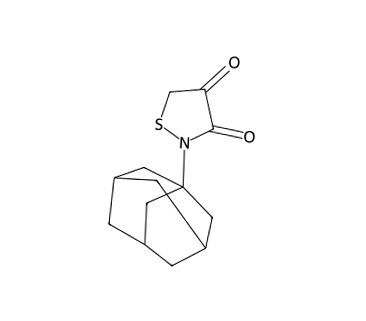 O=C1CSN(C23CC4CC(CC(C4)C2)C3)C1=O